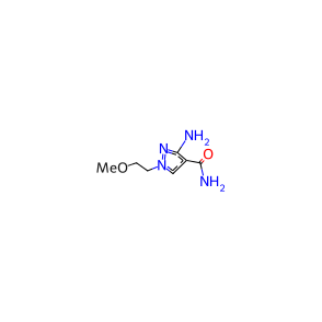 COCCn1cc(C(N)=O)c(N)n1